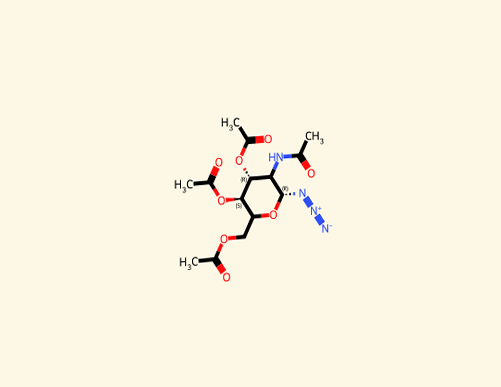 CC(=O)NC1[C@H](N=[N+]=[N-])OC(COC(C)=O)[C@@H](OC(C)=O)[C@@H]1OC(C)=O